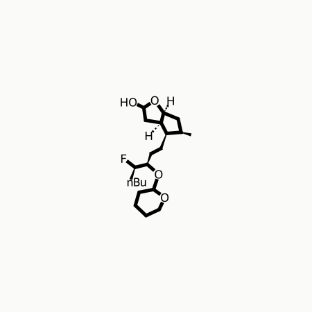 CCCC[C@@H](F)[C@@H](CC[C@H]1[C@H]2CC(O)O[C@H]2C[C@H]1C)OC1CCCCO1